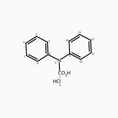 Cl.O=C(O)N(c1ccccc1)c1ccccc1